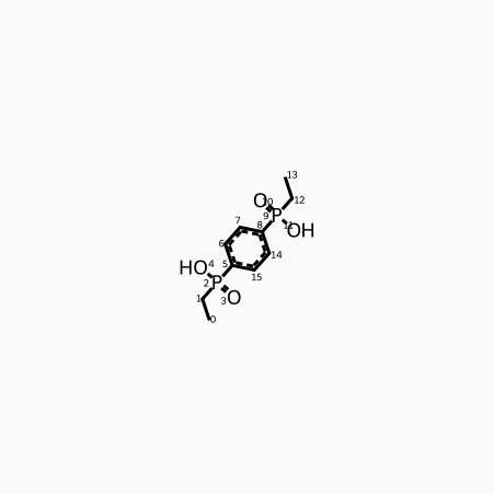 CCP(=O)(O)c1ccc(P(=O)(O)CC)cc1